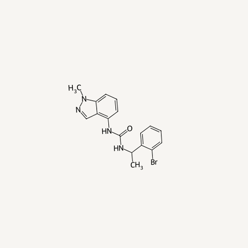 CC(NC(=O)Nc1cccc2c1cnn2C)c1ccccc1Br